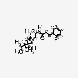 C[C@H](CNC[C@](O)(C=O)C(C)(C)CO)NC(=O)CCc1ccccc1F